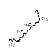 CC(C)=CCC/C(C)=C/CC/C(C)=C/CCC(C)CC=O